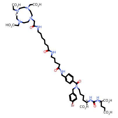 O=C(O)CC[C@@H](NC(=O)N[C@H](CCCCN(Cc1ccc(Br)cc1)C(=O)c1ccc(CNC(=O)CCCCNC(=O)CCCCCCNC(=O)CN2CCN(CC(=O)O)CCN(CC(=O)O)CCN(CC(=O)O)CC2)cc1)C(=O)O)C(=O)O